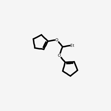 CCC(OC1=CCCC1)OC1=CCCC1